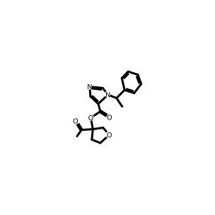 CC(=O)C1(OC(=O)c2cncn2C(C)c2ccccc2)CCOC1